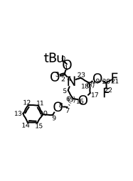 CC(C)(C)OC(=O)N1C[C@@H](COCc2ccccc2)OC[C@H](OC(F)F)C1